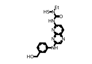 CCN(S)C(=O)Nc1ccc2ncc(Nc3cccc(CO)c3)nc2n1